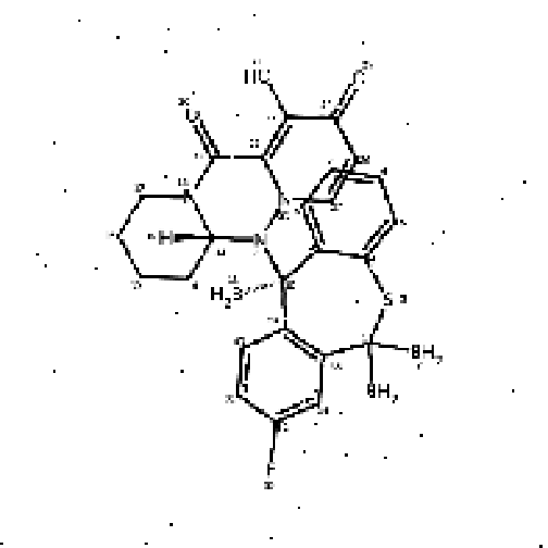 BC1(B)Sc2ccccc2[C@](B)(N2[C@@H]3CCCCN3C(=O)c3c(O)c(=O)ccn32)c2ccc(F)cc21